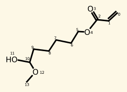 C=CC(=O)OCCCCCC(O)OC